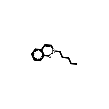 CCCCCN1C=Cc2ccccc2S1